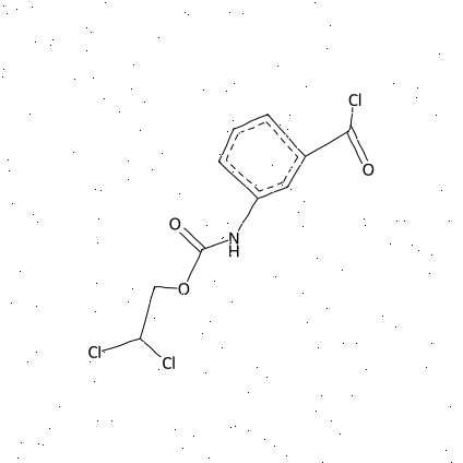 O=C(Nc1cccc(C(=O)Cl)c1)OCC(Cl)Cl